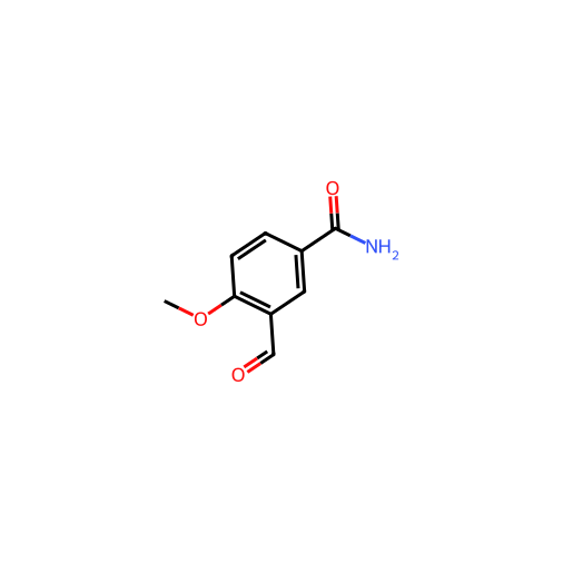 COc1ccc(C(N)=O)cc1C=O